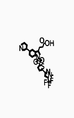 Cn1nc(-c2ccc(S(=O)(=O)n3cc(CCC(=O)O)c4cc(-c5cccnc5)ccc43)s2)cc1C(F)(F)F